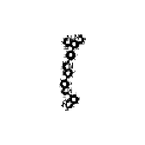 c1cc(-c2ccc3ccc(-c4ccc5nc(-c6ccc(-c7cc8cccnc8c8ncccc78)cc6)ccc5c4)cc3n2)c2cnccc2c1